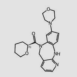 O=C([C@@H]1CCCCO1)N1Cc2cccnc2Nc2ccc(N3CCOCC3)cc21